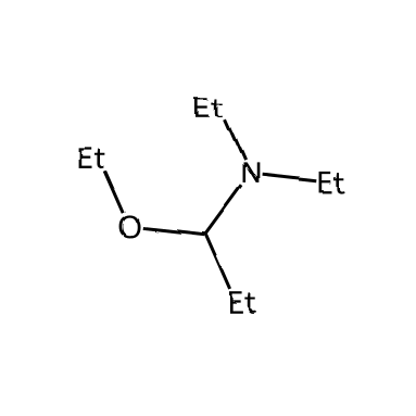 [CH2]CC(OCC)N(CC)CC